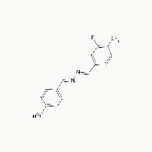 CCCc1ccc(C=NN=Cc2ccc(C(F)(F)F)c(F)c2)cc1